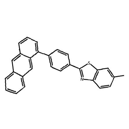 Cc1ccc2nc(-c3ccc(-c4cccc5cc6ccccc6cc45)cc3)sc2c1